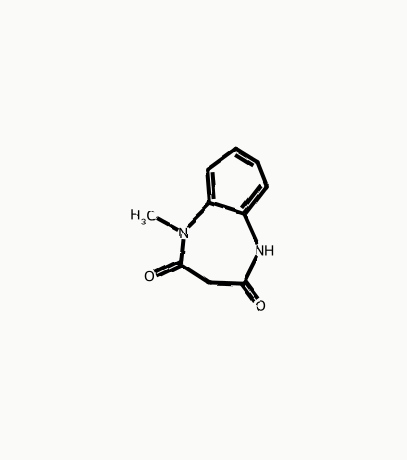 CN1C(=O)CC(=O)Nc2ccccc21